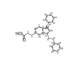 O=C(O)CCc1ccc2c(c1)c(CCc1ccccc1)cn2-c1ccccc1